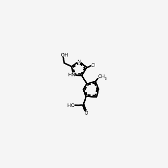 Cc1ccc(C(=O)O)cc1-c1[nH]c(CO)nc1Cl